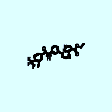 CCOC(=O)c1cnn2c(-c3cccc([AsH]C(=O)c4ccc(C(F)(F)F)c(F)c4)c3)ccnc12